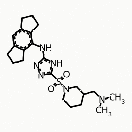 CN(C)CC1CCCN(S(=O)(=O)c2nnc(Nc3c4c(cc5c3CCC5)CCC4)[nH]2)C1